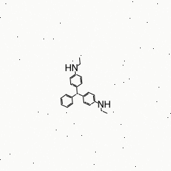 CCNc1ccc(C(c2ccccc2)c2ccc(NCC)cc2)cc1